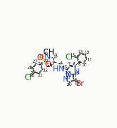 CN(CCCNc1cc(-c2ccccc2Cl)nc2c(Br)cnn12)S(=O)(=O)c1ccc(Cl)cc1